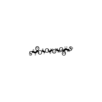 O=C(CC=S)OCCOCCOCCOC(=O)CC=S